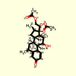 CC(=O)OCC(=O)[C@@]1(OC(C)=O)C(C)C[C@H]2[C@@H]3CC(C)C4=CC(=O)C=C[C@]4(C)[C@H]3C(O)C[C@@]21C